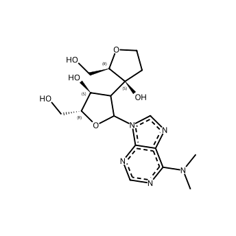 CN(C)c1ncnc2c1ncn2C1O[C@H](CO)[C@@H](O)C1[C@@]1(O)CCO[C@@H]1CO